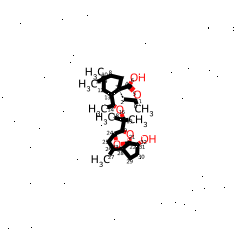 CCC[C@@]1(C(=O)O)CCC(C)(C)CC1C(C)OC(C)(C)C1OC23OC1CC(C)C2CCC3O